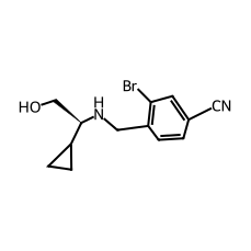 N#Cc1ccc(CN[C@H](CO)C2CC2)c(Br)c1